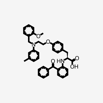 COc1ccccc1CN(CCOc1ccc(C[C@H](Nc2ccccc2C(=O)c2ccccc2)C(=O)O)cc1)c1cccc(C)c1